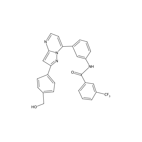 O=C(Nc1cccc(-c2ccnc3cc(-c4ccc(CO)cc4)nn23)c1)c1cccc(C(F)(F)F)c1